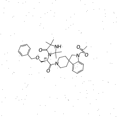 CC1(C)NC(C)(C)N([C@H](COCc2ccccc2)C(=O)N2CCC3(CC2)CN(S(C)(=O)=O)c2ccccc23)C1=O